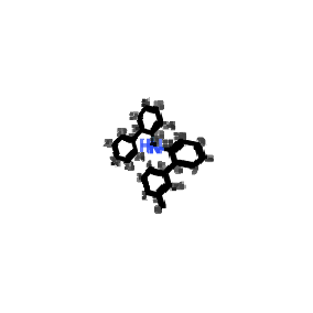 Cc1cccc(-c2ccccc2Nc2ccccc2-c2ccccc2)c1